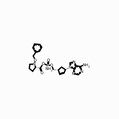 Nc1ncnc2c1ncn2[C@@H]1C=C[C@H](COP(N)(=O)OC(=O)[C@@H]2CCCN2OCc2ccccc2)C1